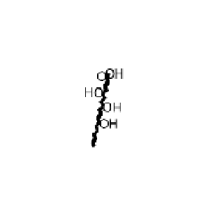 CCCCCCC(O)CCCC(O)CCC(O)CC=CC(=O)O